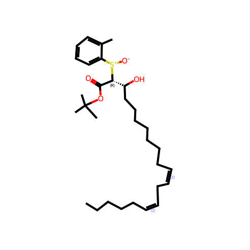 CCCCC/C=C\C/C=C\CCCCCCCC(O)[C@H](C(=O)OC(C)(C)C)[S+]([O-])c1ccccc1C